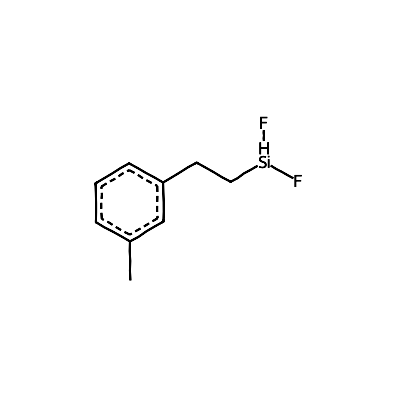 Cc1cccc(CC[SiH](F)F)c1